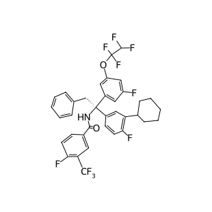 O=C(N[C@@](Cc1ccccc1)(c1cc(F)cc(OC(F)(F)C(F)F)c1)c1ccc(F)c(C2CCCCC2)c1)c1ccc(F)c(C(F)(F)F)c1